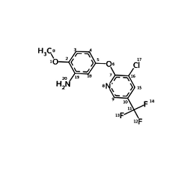 COc1ccc(Oc2ncc(C(F)(F)F)cc2Cl)cc1N